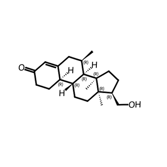 C[C@@H]1CC2=CC(=O)CC[C@@H]2[C@H]2CC[C@]3(C)[C@H](CO)CC[C@]3(C)[C@@H]21